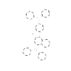 Cc1ccc(N(c2ccc(C)cc2)c2ccc3c(c2)C(C)(C)c2cc(N(c4ccc(C)cc4)c4ccc(C)cc4)c4ccccc4c2-3)cc1